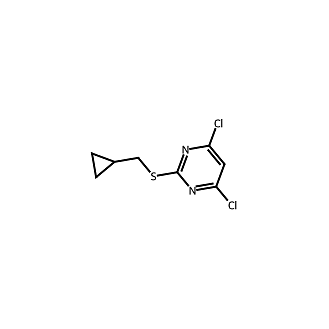 Clc1cc(Cl)nc(SCC2CC2)n1